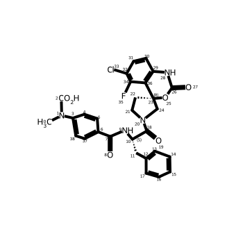 CN(C(=O)O)c1ccc(C(=O)N[C@@H](Cc2ccccc2)C(=O)N2CC[C@@]3(C2)OC(=O)Nc2ccc(Cl)c(F)c23)cc1